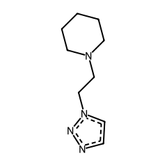 c1cn(CCN2CCCCC2)nn1